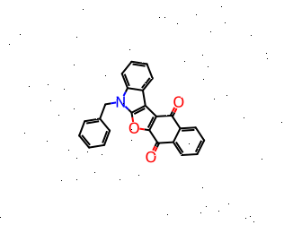 O=C1c2ccccc2C(=O)c2c1oc1c2c2ccccc2n1Cc1ccccc1